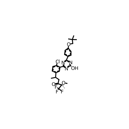 CO[C@](C)(C(=O)CC(C)c1ccc(Cl)c(-c2nc(O)nc(-c3ccc(OCC(C)(C)C)cc3)n2)c1)C(F)(F)F